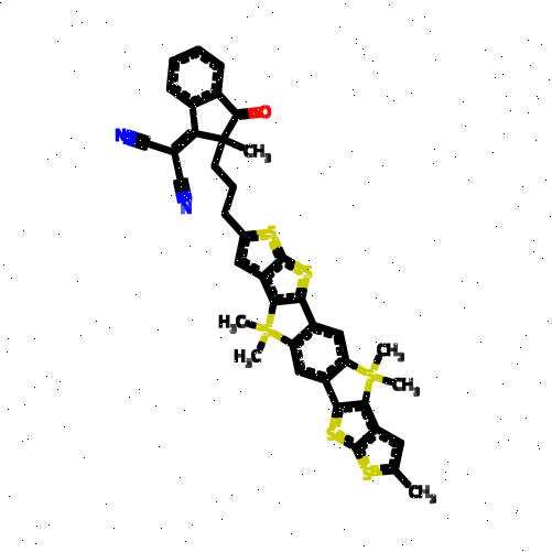 Cc1cc2c3c(sc2s1)-c1cc2c(cc1S3(C)C)-c1sc3sc(CCCC4(C)C(=O)c5ccccc5C4=C(C#N)C#N)cc3c1S2(C)C